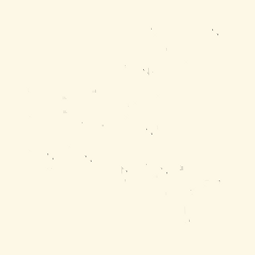 N#CCC(=O)N1CCC(c2cc(Nc3cc(C(F)(F)F)ccn3)nc(N3CC(F)(F)C3)n2)C1